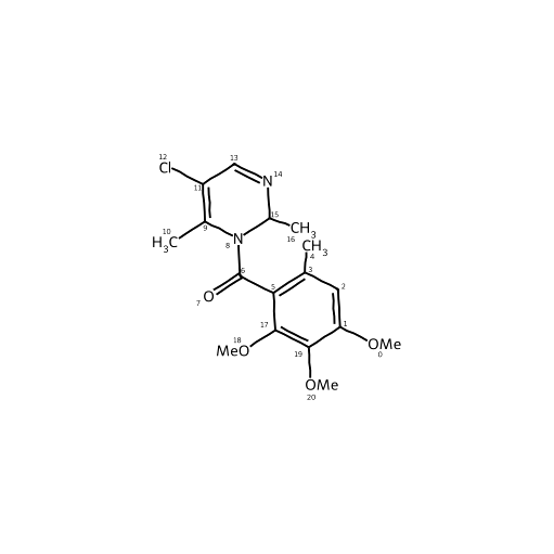 COc1cc(C)c(C(=O)N2C(C)=C(Cl)C=NC2C)c(OC)c1OC